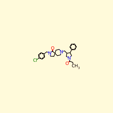 CCC(=O)N1CC(CN2CCC3(CC2)CCN(Cc2ccc(Cl)cc2)C3=O)C(c2ccccc2)C1